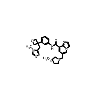 C[C@H]1CCN(Cc2cc(C(=O)Nc3cccc(C4(Cc5nncn5C)COC4)c3)c3nccn3c2)C1